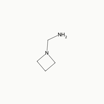 NCN1CCC1